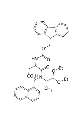 CCOC(OCC)[C@H](C)N(Cc1cccc2ccccc12)C(=O)C(CC(=O)O)NC(=O)OCC1c2ccccc2-c2ccccc21